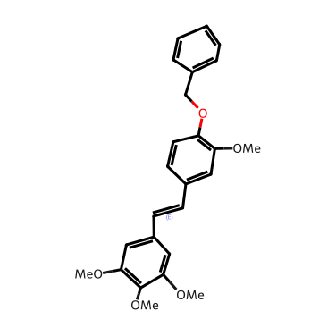 COc1cc(/C=C/c2cc(OC)c(OC)c(OC)c2)ccc1OCc1ccccc1